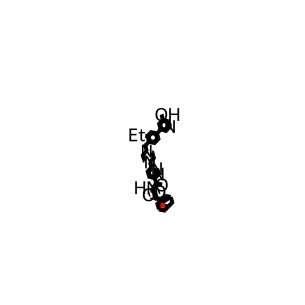 CCc1cc(-c2cncc(O)c2)ccc1CN1CCN(c2ccc(C(=O)NS(=O)(=O)CC34CC5CC(CC(C5)C3)C4)nn2)CC1